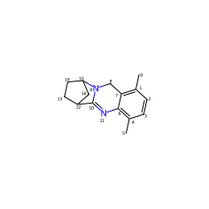 Cc1ccc(C)c2c1CN1C(=N2)C2CCC1C2